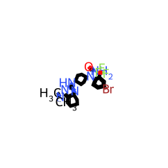 CN(C)c1nc(N[C@H]2CC[C@@H](N(C(N)=O)c3ccc(Br)cc3C(F)(F)F)CC2)nc2c1CCCC2